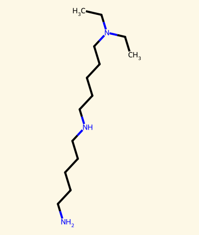 CCN(CC)CCCCCNCCCCCN